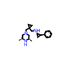 C[C@@H]1CN(CC2(CN[C@H]3CC3c3ccccc3)CC2)C[C@H](C)N1